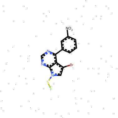 O=[N+]([O-])c1cccc(-c2ncnc3c2c(Br)cn3SF)c1